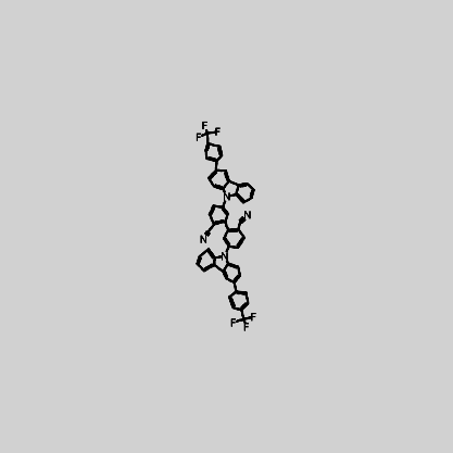 N#Cc1ccc(-n2c3ccccc3c3cc(-c4ccc(C(F)(F)F)cc4)ccc32)cc1-c1cc(-n2c3ccccc3c3cc(-c4ccc(C(F)(F)F)cc4)ccc32)ccc1C#N